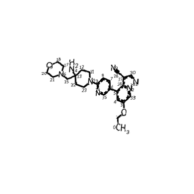 CCOc1cc(-c2ccc(N3CCC(N)(CN4CCOCC4)CC3)nc2)c2c(C#N)cnn2c1